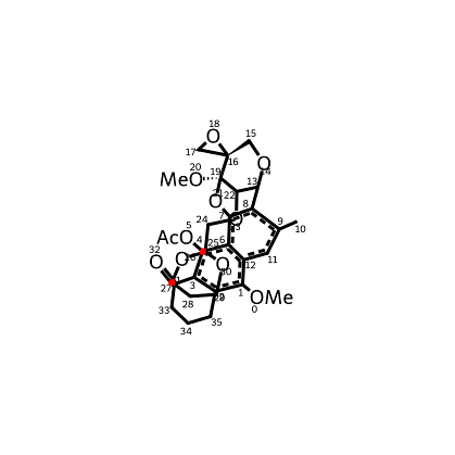 COc1c2c(c(OC(C)=O)c3c4c(c(C)cc13)C1OC[C@]3(CO3)[C@](OC)(O4)C1OCC1OCCCO1)C(=O)CCC2